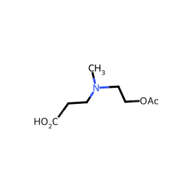 CC(=O)OCCN(C)CCC(=O)O